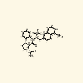 CS(=O)(=O)N(Cc1ccc2c(N)nccc2c1)[C@@H](C(=O)N1CCC[C@H]1C(N)=O)c1ccccc1